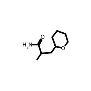 CC(CC1CCCCO1)C(N)=O